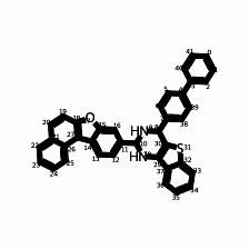 c1ccc(-c2ccc(C3NC(c4ccc5c(c4)oc4ccc6ccccc6c45)Nc4c3sc3ccccc43)cc2)cc1